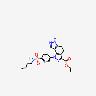 CCCCNS(=O)(=O)c1ccc(-n2nc(C(=O)OCC)c3c2-c2cn[nH]c2CC3)cc1